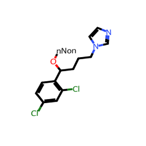 CCCCCCCCCOC(CCCn1ccnc1)c1ccc(Cl)cc1Cl